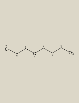 [O]CCCOCCCl